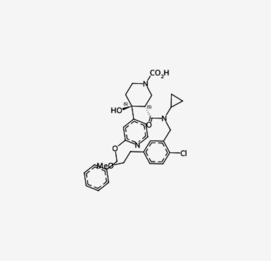 COCCc1ccc(Cl)c(CN(C(=O)[C@H]2CN(C(=O)O)CC[C@@]2(O)c2ccnc(OCc3ccccc3)c2)C2CC2)c1